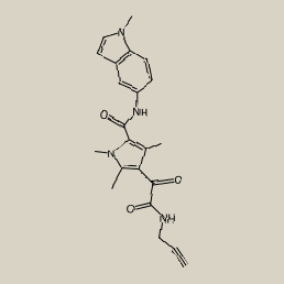 C#CCNC(=O)C(=O)c1c(C)c(C(=O)Nc2ccc3c(ccn3C)c2)n(C)c1C